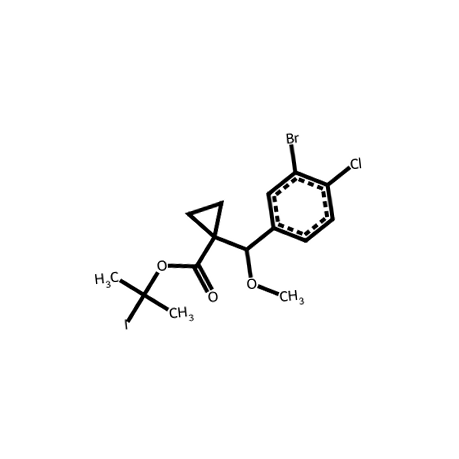 COC(c1ccc(Cl)c(Br)c1)C1(C(=O)OC(C)(C)I)CC1